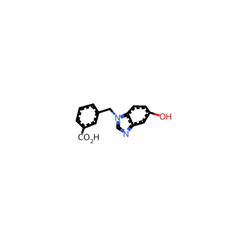 O=C(O)c1cccc(Cn2cnc3cc(O)ccc32)c1